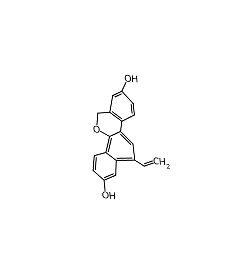 C=Cc1cc2c(c3ccc(O)cc13)OCc1cc(O)ccc1-2